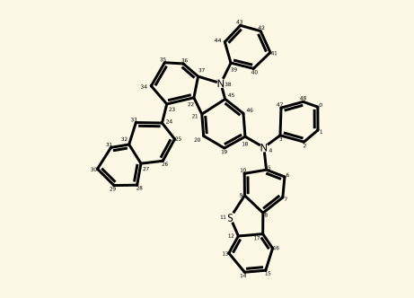 c1ccc(N(c2ccc3c(c2)sc2ccccc23)c2ccc3c4c(-c5ccc6ccccc6c5)cccc4n(-c4ccccc4)c3c2)cc1